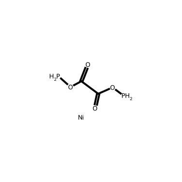 O=C(OP)C(=O)OP.[Ni]